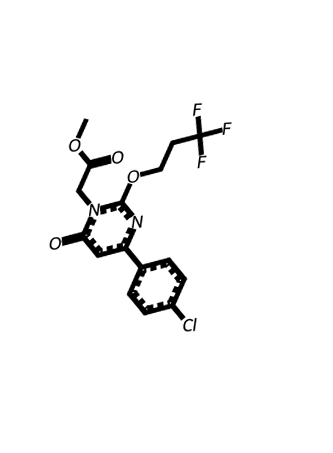 COC(=O)Cn1c(OCCC(F)(F)F)nc(-c2ccc(Cl)cc2)cc1=O